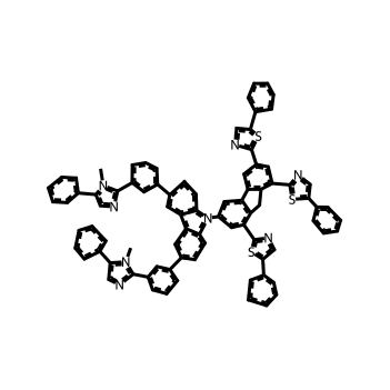 Cn1c(-c2ccccc2)cnc1-c1cccc(-c2ccc3c(c2)c2cc(-c4cccc(-c5ncc(-c6ccccc6)n5C)c4)ccc2n3-c2cc(-c3ncc(-c4ccccc4)s3)c3c(c2)-c2cc(-c4ncc(-c5ccccc5)s4)cc(-c4ncc(-c5ccccc5)s4)c2C3)c1